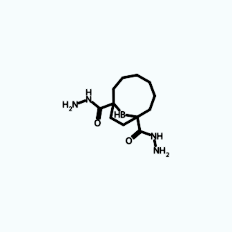 NNC(=O)C12BC(C(=O)NN)(CCCCCC1)CC2